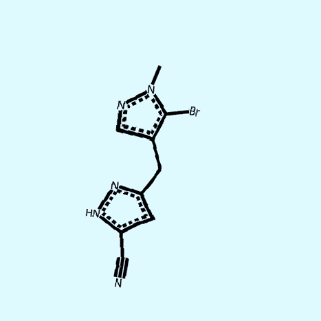 Cn1ncc(Cc2cc(C#N)[nH]n2)c1Br